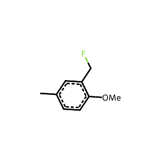 COc1ccc(C)cc1CF